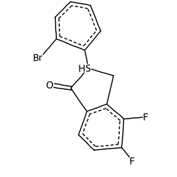 O=C1c2ccc(F)c(F)c2C[SH]1c1ccccc1Br